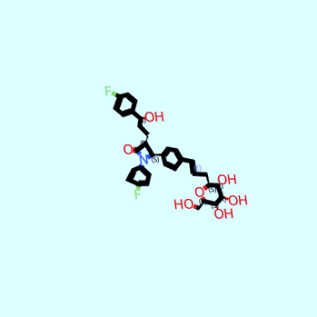 O=C1[C@H](CC[C@H](O)c2ccc(F)cc2)[C@@H](c2ccc(/C=C/C[C@@H]3O[C@H](CO)[C@@H](O)[C@H](O)[C@H]3O)cc2)N1c1ccc(F)cc1